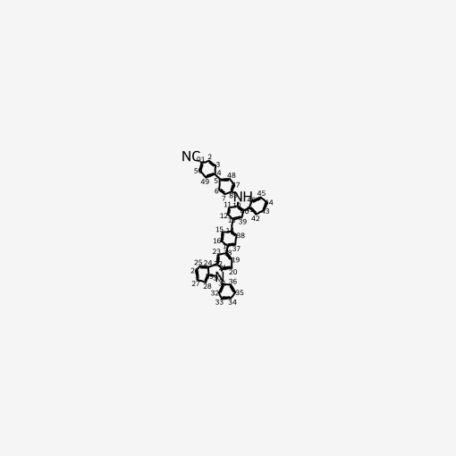 N#Cc1ccc(-c2ccc(Nc3ccc(-c4ccc(-c5ccc6c(c5)c5ccccc5n6-c5ccccc5)cc4)cc3-c3ccccc3)cc2)cc1